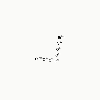 [Bi+3].[Cu+2].[O-2].[O-2].[O-2].[O-2].[O-2].[V+5]